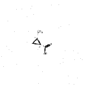 C[C@H]1C[C@H]1C(=O)O